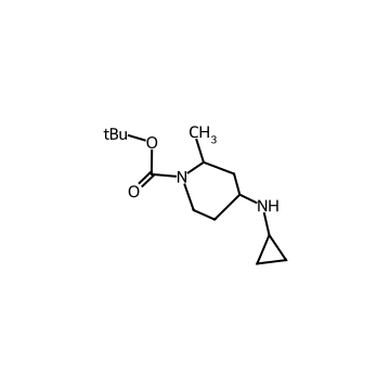 CC1CC(NC2CC2)CCN1C(=O)OC(C)(C)C